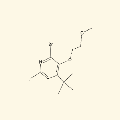 COCCOc1c(C(C)(C)C)cc(I)nc1Br